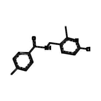 Cc1ccc(C(=O)NCc2ccc(Cl)nc2C)cc1